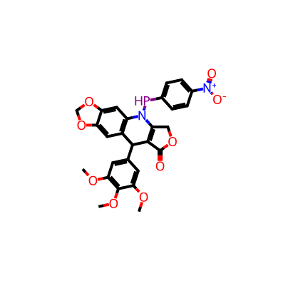 COc1cc(C2C3=C(COC3=O)N(Pc3ccc([N+](=O)[O-])cc3)c3cc4c(cc32)OCO4)cc(OC)c1OC